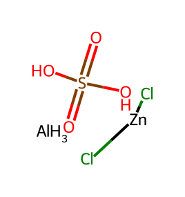 O=S(=O)(O)O.[AlH3].[Cl][Zn][Cl]